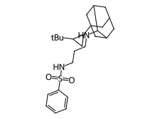 CC(C)(C)C1CC1C12CC3CC(C1)C(NCCCNS(=O)(=O)c1ccccc1)C(C3)C2